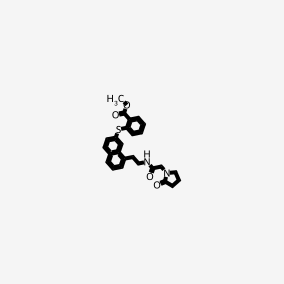 COC(=O)c1ccccc1Sc1ccc2cccc(CCNC(=O)CN3CCCC3=O)c2c1